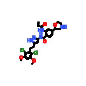 C=CC(=O)Nc1cc(C2CNCCO2)ccc1C(=O)Nc1cc(CCc2c(Cl)c(OC)cc(OC)c2Cl)[nH]n1